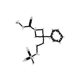 CC(C)(C)OC(=O)N1CC(CCOS(C)(=O)=O)(c2ccccc2)C1